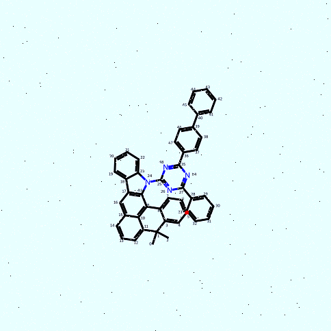 CC1(C)c2ccccc2-c2c3c1cccc3cc1c3ccccc3n(-c3nc(-c4ccccc4)nc(-c4ccc(-c5ccccc5)cc4)n3)c21